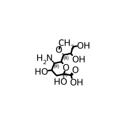 CO[C@H](C(O)CO)C1O[C@@](O)(C(=O)O)CC(O)[C@H]1N